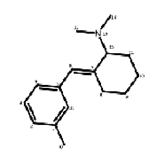 Cc1cccc(C=C2CCCCC2N(C)C)c1